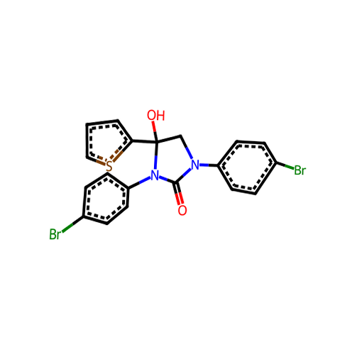 O=C1N(c2ccc(Br)cc2)CC(O)(c2cccs2)N1c1ccc(Br)cc1